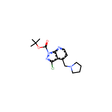 CC(C)(C)OC(=O)n1nc(Cl)c2c(CN3CCCC3)ccnc21